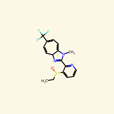 CC[S+]([O-])c1cccnc1C1=NC2C=CC(C(F)(F)F)=CC=C2N1C